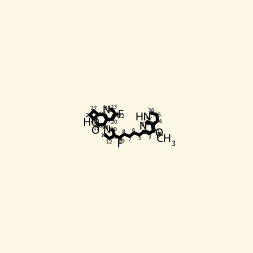 COc1cc(CCCCC(F)C2CCN(C(C(=O)O)c3cc(F)cnc3C3CCC3)C2)nc2c1CCCN2